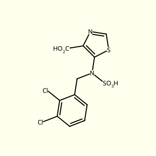 O=C(O)c1ncsc1N(Cc1cccc(Cl)c1Cl)S(=O)(=O)O